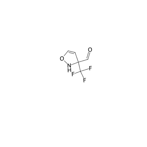 O=CC1(C(F)(F)F)C=CON1